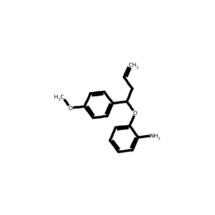 C=CCC(Oc1ccccc1N)c1ccc(OC)cc1